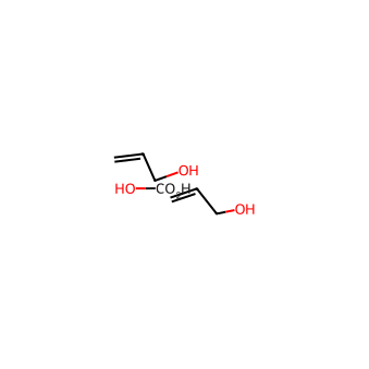 C=CCO.C=CCO.O=C(O)O